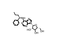 CCC[C@@H](Nc1ncnc2c1ncn2[C@@H]1O[C@H](CO)C(O)[C@@H]1O)c1ccccc1